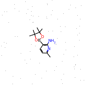 Cc1ccc(B2OC(C)(C)C(C)(C)O2)c(N)n1